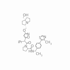 Cc1ncsc1-c1ccc([C@H](C)NC(=O)C2CCCN2C(=O)C(c2cc(OC[C@@H]3CC[C@@]4(CO)CCCN34)no2)C(C)C)cc1